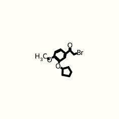 COc1ccc(C(=O)CBr)cc1OC1CCCC1